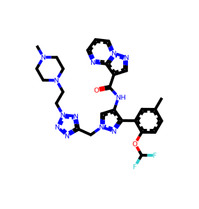 Cc1ccc(OC(F)F)c(-c2nn(Cc3nnn(CCN4CCN(C)CC4)n3)cc2NC(=O)c2cnn3cccnc23)c1